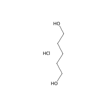 Cl.OCCCCCO